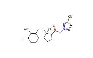 CCCC1C(CC)CCC2C1CCC1(C)C(C(=O)Cn3cc(C#N)cn3)CCC21